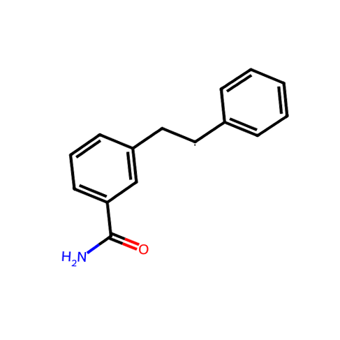 NC(=O)c1cccc(C[CH]c2ccccc2)c1